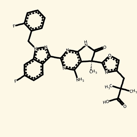 CC(C)(Cc1coc([C@]2(C)C(=O)Nc3nc(-c4nn(Cc5ccccc5F)c5cc(F)ccc45)nc(N)c32)n1)C(=O)O